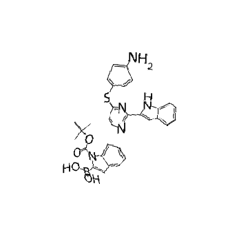 CC(C)(C)OC(=O)n1c(B(O)O)cc2ccccc21.Nc1ccc(Sc2ccnc(-c3cc4ccccc4[nH]3)n2)cc1